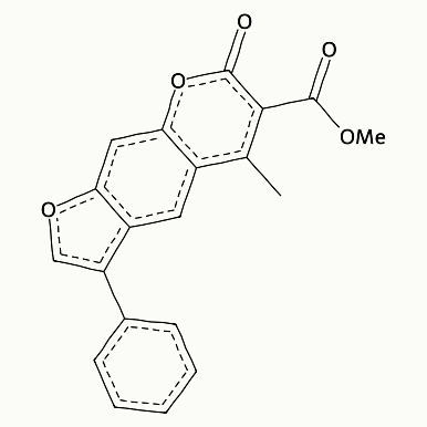 COC(=O)c1c(C)c2cc3c(-c4ccccc4)coc3cc2oc1=O